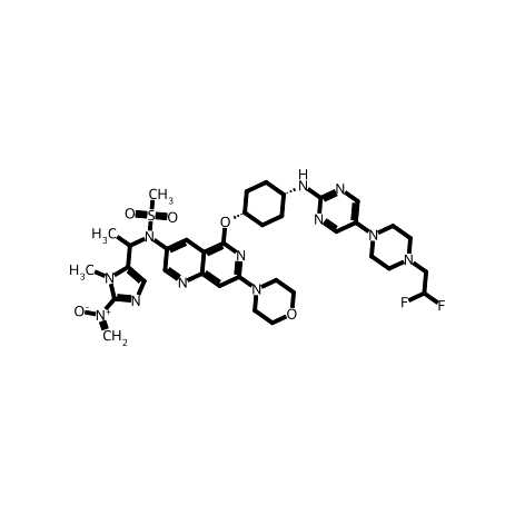 C=[N+]([O-])c1ncc(C(C)N(c2cnc3cc(N4CCOCC4)nc(O[C@H]4CC[C@@H](Nc5ncc(N6CCN(CC(F)F)CC6)cn5)CC4)c3c2)S(C)(=O)=O)n1C